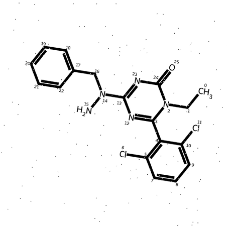 CCn1c(-c2c(Cl)cccc2Cl)nc(N(N)Cc2ccccc2)nc1=O